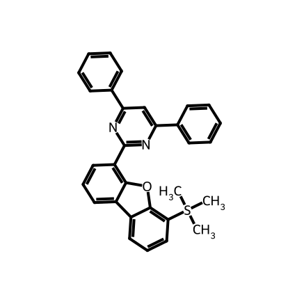 CS(C)(C)c1cccc2c1oc1c(-c3nc(-c4ccccc4)cc(-c4ccccc4)n3)cccc12